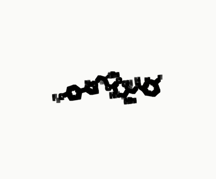 CCCC[C@H](NC(=O)O[C@H](Cn1ccc(-c2ccc(C(F)(F)F)cc2)n1)C(C)(C)C)[C@@H](O)CNc1cccc(F)n1